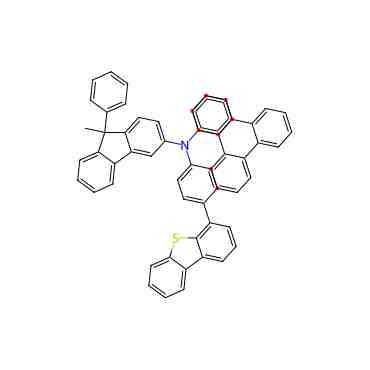 CC1(c2ccccc2)c2ccccc2-c2cc(N(c3ccc(-c4cccc5c4sc4ccccc45)cc3)c3ccccc3-c3ccccc3-c3ccccc3-c3ccccc3)ccc21